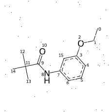 CCOc1cccc(NC(=O)C(C)(C)C)c1